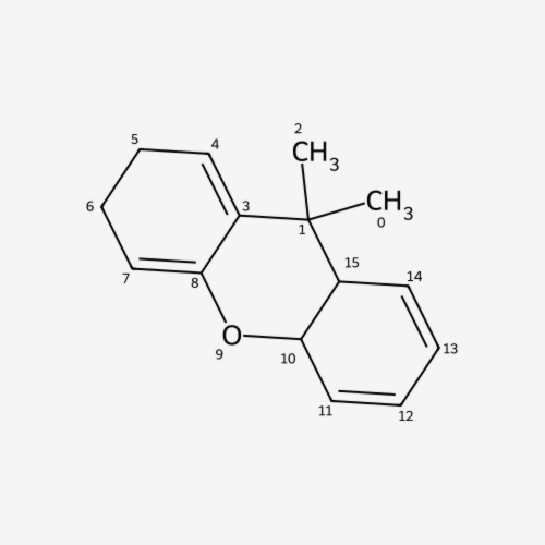 CC1(C)C2=CCCC=C2OC2C=CC=CC21